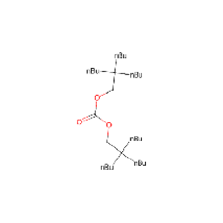 CCCCC(CCCC)(CCCC)COC(=O)OCC(CCCC)(CCCC)CCCC